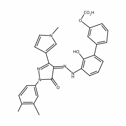 Cc1ccc(N2N=C(c3ccn(C)c3)C(=NNc3cccc(-c4cccc(OC(=O)O)c4)c3O)C2=O)cc1C